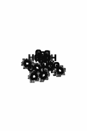 CC(C)(c1ccc(Oc2ccccc2)cc1)c1ccc(Oc2ccccc2)c(-c2ccccc2)c1-c1ccccc1.O=P(O)(O)OP(=O)(O)O